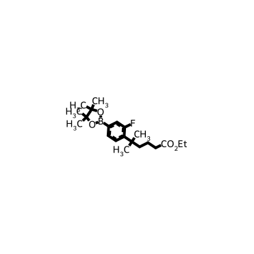 CCOC(=O)CCCC(C)(C)c1ccc(B2OC(C)(C)C(C)(C)O2)cc1F